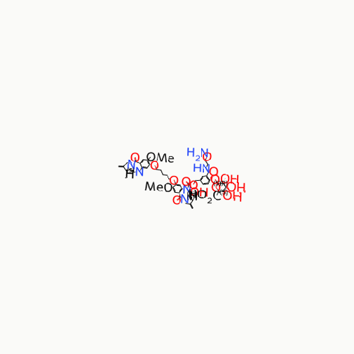 C=C1C[C@H]2C=Nc3cc(OCCCCCOc4cc5c(cc4OC)C(=O)N4CC(=C)C[C@H]4[C@@H](O)N5C(=O)OCc4ccc(O[C@@H]5OC(C(=O)O)[C@@H](O)C(O)[C@H]5O)c(C(=O)NCCON)c4)c(OC)cc3C(=O)N2C1